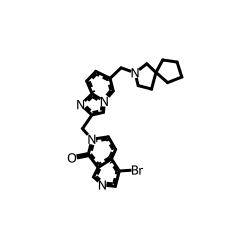 O=c1c2cncc(Br)c2ccn1Cc1cn2cc(CN3CCC4(CCCC4)C3)ccc2n1